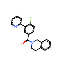 O=C(c1ccc(F)c(-c2ccccn2)c1)N1CCc2ccccc2C1